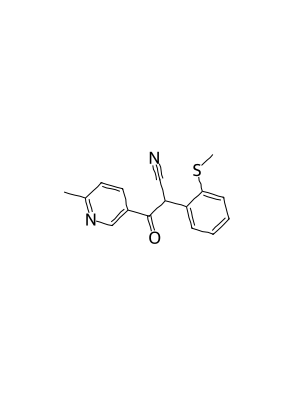 CSc1ccccc1C(C#N)C(=O)c1ccc(C)nc1